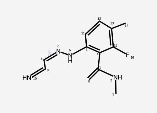 C=C(NC)c1c(N/N=C\C=N)ccc(C)c1F